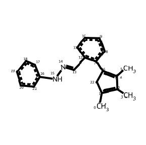 CC1=C(C)C(C)=C(c2ccccc2/C=N/Nc2ccccc2)C1